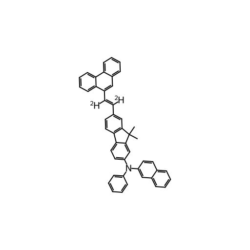 [2H]/C(=C(/[2H])c1cc2ccccc2c2ccccc12)c1ccc2c(c1)C(C)(C)c1cc(N(c3ccccc3)c3ccc4ccccc4c3)ccc1-2